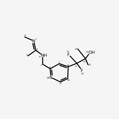 C/N=C(\C)NCc1cc(C(F)(F)C(C)(C)O)ccn1